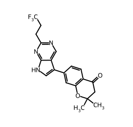 CC1(C)CC(=O)c2ccc(-c3c[nH]c4nc(CCC(F)(F)F)ncc34)cc2O1